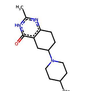 COC1CCN(C2CCc3nc(C)[nH]c(=O)c3C2)CC1